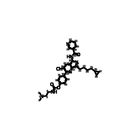 CN(C)CCNC(=O)Oc1ccc(-c2nc3c(cc2Cl)c(NC(=O)c2cccnc2)nn3CCCCC2CC2)cc1